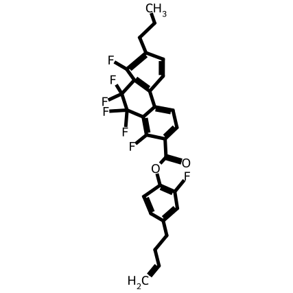 C=CCCc1ccc(OC(=O)c2ccc3c(c2F)C(F)(F)C(F)(F)c2c-3ccc(CCC)c2F)c(F)c1